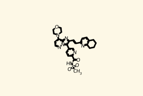 CS(=O)(=O)NC(=O)c1ccc(-c2c(C=Cc3ccc4c(n3)CCCC4)nc3c(N4CCOCC4)ccnn23)cn1